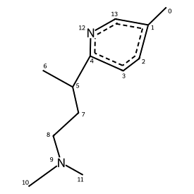 Cc1ccc(C(C)CCN(C)C)nc1